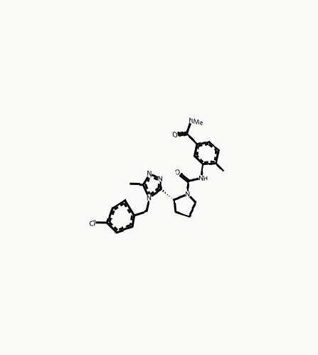 CNC(=O)c1ccc(C)c(NC(=O)N2CCC[C@@H]2c2nnc(C)n2Cc2ccc(Cl)cc2)c1